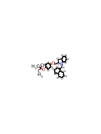 CC(C)(C)Oc1ccc(OCC2Cc3ccccc3N2Cc2cccc3ccccc23)cc1